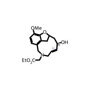 CCOC(=O)CN1C/C=C/[C@H](O)CC2Cc3c(ccc(OC)c3O2)C1